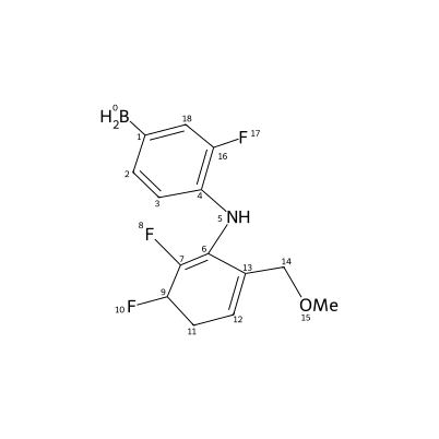 Bc1ccc(NC2=C(F)C(F)CC=C2COC)c(F)c1